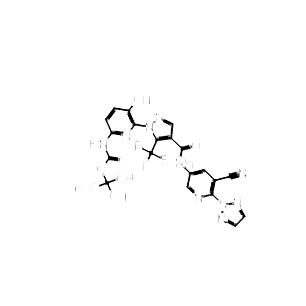 Cc1ccc(NC(=O)OC(C)(C)C)nc1-n1ncc(C(=O)Nc2cnc(-n3nccn3)c(C#N)c2)c1C(F)(F)F